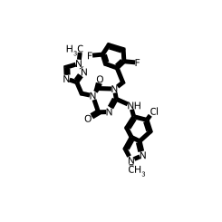 Cn1cnc(Cn2c(=O)nc(Nc3cc4cn(C)nc4cc3Cl)n(Cc3cc(F)ccc3F)c2=O)n1